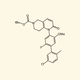 COc1cc(-c2cc(Cl)ccc2C)c(F)cc1-n1c2c(ccc1=O)CN(C(=O)OC(C)(C)C)CC2